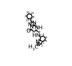 Cn1cc2cccc(NCC3CC(=O)n4nc(-c5ccccc5)nc4N3)c2n1